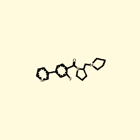 O=C(c1ccc(-c2cccnc2)cc1F)N1CCCC1CN1CCCC1